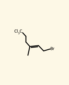 CC(=CCBr)CCC(Cl)(Cl)Cl